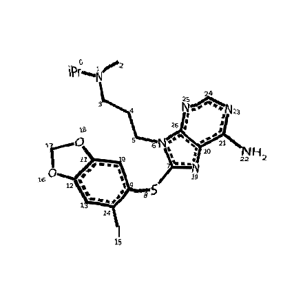 CC(C)N(C)CCCn1c(Sc2cc3c(cc2I)OCO3)nc2c(N)ncnc21